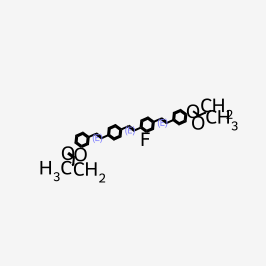 C=C(C)C(=O)Oc1ccc(/C=C/c2ccc(/C=C/c3ccc(/C=C/c4cccc(OC(=O)C(=C)C)c4)cc3)c(F)c2)cc1